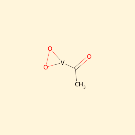 C[C](=O)[V]1[O][O]1